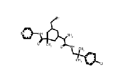 CC(C)CC1CC(C(N)C(=O)NCC(C)(C)c2ccc(Cl)cc2)CC(C)(C(=O)Nc2ccncc2)C1